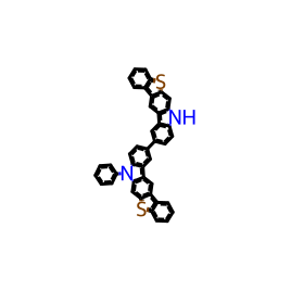 c1ccc(-n2c3ccc(-c4ccc5[nH]c6cc7sc8ccccc8c7cc6c5c4)cc3c3cc4c(cc32)sc2ccccc24)cc1